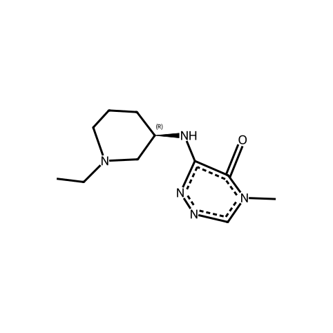 CCN1CCC[C@@H](Nc2nncn(C)c2=O)C1